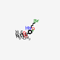 CC1(C)OB(c2ccc(F)c(NC(=O)CCCCBr)c2)OC1(C)C